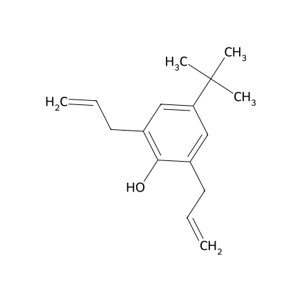 C=CCc1cc(C(C)(C)C)cc(CC=C)c1O